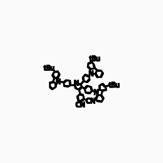 CC(C)(C)c1ccc2c(c1)c1ccccc1n2-c1ccc(-c2cc(-c3ccc(C#N)c(C#N)c3)c(-c3ccc(-n4c5ccccc5c5cc(C(C)(C)C)ccc54)cc3)c(-c3ccc(-n4c5ccccc5c5cc(C(C)(C)C)ccc54)cc3)n2)cc1